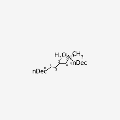 CCCCCCCCCCCCCC[N+](C)(C)CCCCCCCCCC